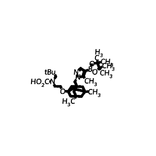 Cc1c(B2OC(C)(C)C(C)(C)O2)cnn1CC12CC3(C)CC(C)(C1)CC(OCCN(CC(C)(C)C)C(=O)O)(C3)C2